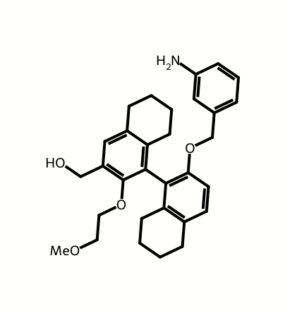 COCCOc1c(CO)cc2c(c1-c1c(OCc3cccc(N)c3)ccc3c1CCCC3)CCCC2